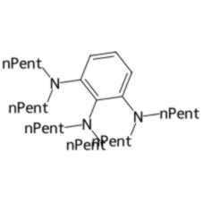 CCCCCN(CCCCC)c1cccc(N(CCCCC)CCCCC)c1N(CCCCC)CCCCC